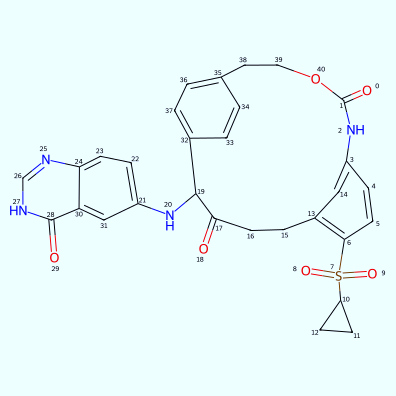 O=C1Nc2ccc(S(=O)(=O)C3CC3)c(c2)CCC(=O)C(Nc2ccc3nc[nH]c(=O)c3c2)c2ccc(cc2)CCO1